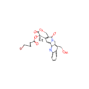 CC[C@@]1(OC(=O)CCCBr)C(=O)OCc2c1cc1n(c2=O)Cc2c-1nc1ccccc1c2CO